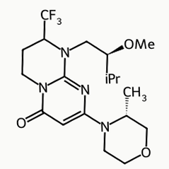 CO[C@H](CN1c2nc(N3CCOC[C@H]3C)cc(=O)n2CCC1C(F)(F)F)C(C)C